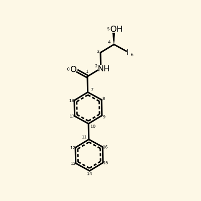 O=C(NC[C@@H](O)I)c1ccc(-c2ccccc2)cc1